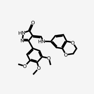 COc1cc(C2=NNC(=O)C2=CNc2ccc3c(c2)OCCO3)cc(OC)c1OC